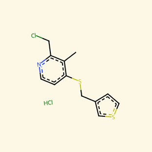 Cc1c(SCc2ccsc2)ccnc1CCl.Cl